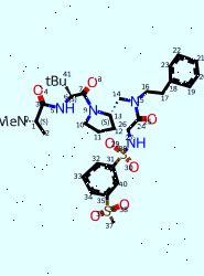 CN[C@@H](C)C(=O)N[C@H](C(=O)N1CCC[C@H]1CN(CCc1ccccc1)C(=O)CNS(=O)(=O)c1cccc(S(C)(=O)=O)c1)C(C)(C)C